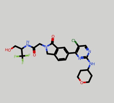 O=C(CN1Cc2ccc(-c3nc(NC4CCOCC4)ncc3Cl)cc2C1=O)NC(CO)C(F)(F)F